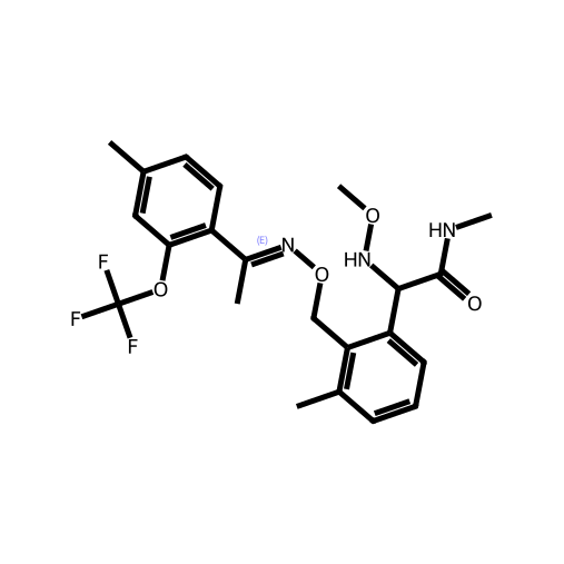 CNC(=O)C(NOC)c1cccc(C)c1CO/N=C(\C)c1ccc(C)cc1OC(F)(F)F